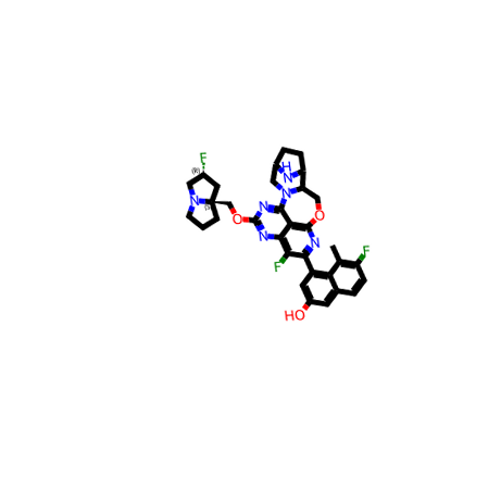 Cc1c(F)ccc2cc(O)cc(-c3nc4c5c(nc(OC[C@@]67CCCN6C[C@H](F)C7)nc5c3F)N3CC5CCC(N5)C3CO4)c12